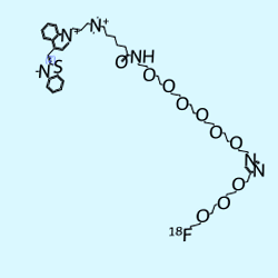 CN1/C(=C/c2cc[n+](CCC[N+](C)(C)CCCCCC(=O)NCCOCCOCCOCCOCCOCCOCCn3cnc(COCCOCCOCC[18F])c3)c3ccccc23)Sc2ccccc21